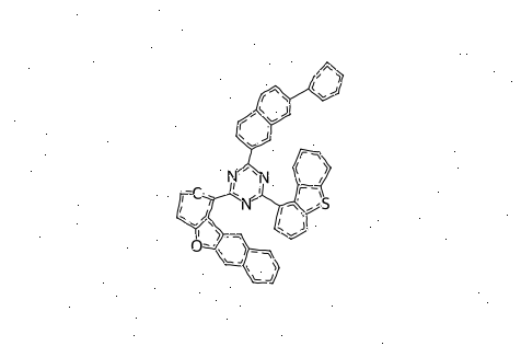 c1ccc(-c2ccc3ccc(-c4nc(-c5cccc6oc7cc8ccccc8cc7c56)nc(-c5cccc6sc7ccccc7c56)n4)cc3c2)cc1